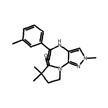 C=C(Nc1cn(C)nc1N1CCC(C)(C)C1=O)c1cccc(C)c1